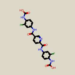 O=C(O)Nc1ccc(NC(=O)c2ccc(C(=O)Nc3ccc(NC(=O)O)c(F)c3)nc2)cc1F